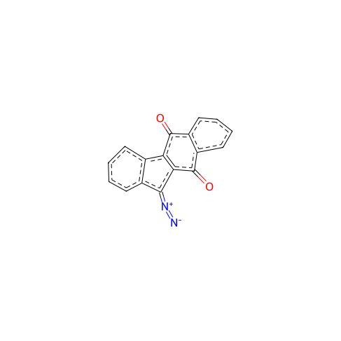 [N-]=[N+]=c1c2c(=O)c3ccccc3c(=O)c=2c2ccccc12